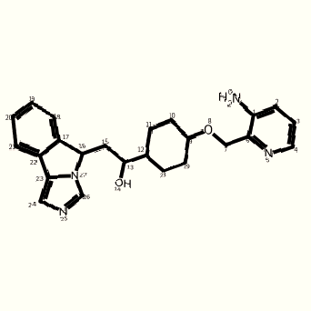 Nc1cccnc1COC1CCC(C(O)CC2c3ccccc3-c3cncn32)CC1